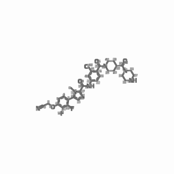 Cn1c(-c2ccc(OCC#N)c(F)c2F)cnc1C(=O)Nc1ccc(C(=O)N2CCC(C(=O)N3CCNCC3)CC2)c(Cl)c1